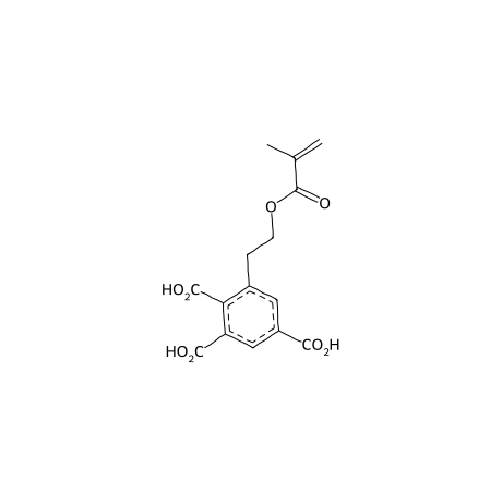 C=C(C)C(=O)OCCc1cc(C(=O)O)cc(C(=O)O)c1C(=O)O